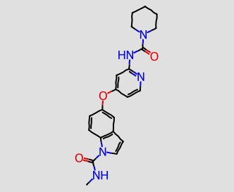 CNC(=O)n1ccc2cc(Oc3ccnc(NC(=O)N4CCCCC4)c3)ccc21